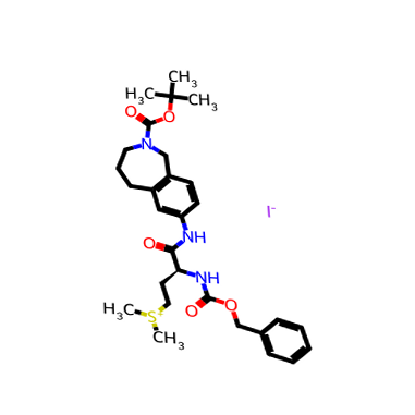 C[S+](C)CC[C@H](NC(=O)OCc1ccccc1)C(=O)Nc1ccc2c(c1)CCCN(C(=O)OC(C)(C)C)C2.[I-]